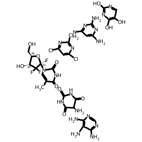 Cc1cn([C@]2(F)O[C@H](CO)[C@@H](O)C2(F)F)c(=O)[nH]c1=O.Clc1cc(Cl)nc(Cl)n1.NC1C(=O)NC(=O)NC1=O.Nc1cc(N)nc(N)n1.Nc1ncnc(N)c1N.Oc1ncc(O)c(O)n1